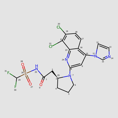 O=C(C[C@@H]1CCCN1c1cc(-n2ccnc2)c2ccc(Cl)c(Cl)c2n1)NS(=O)(=O)C(F)F